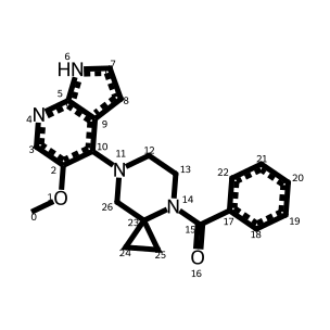 COc1cnc2[nH]ccc2c1N1CCN(C(=O)c2ccccc2)C2(CC2)C1